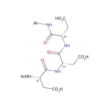 CC(=O)N[C@@H](CC(=O)O)C(=O)N[C@@H](CC(=O)O)C(=O)N[C@@H](CC(=O)O)C(=O)NC(C)C